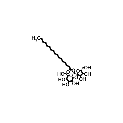 CCCCCCCCCCCCCCCCC(=O)OC[C@@]1(O[C@H]2O[C@H](CO)[C@@H](O)[C@H](O)[C@H]2O)O[C@H](CO)[C@@H](O)[C@@H]1O